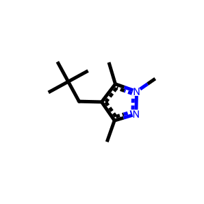 Cc1nn(C)c(C)c1CC(C)(C)C